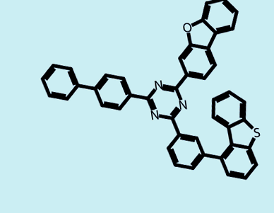 c1ccc(-c2ccc(-c3nc(-c4cccc(-c5cccc6sc7ccccc7c56)c4)nc(-c4ccc5c(c4)oc4ccccc45)n3)cc2)cc1